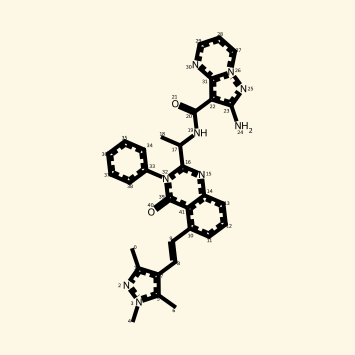 Cc1nn(C)c(C)c1/C=C/c1cccc2nc(C(C)NC(=O)c3c(N)nn4cccnc34)n(-c3ccccc3)c(=O)c12